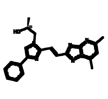 Cc1cc(C)n2nc(C=Cc3nc(-c4ccccc4)cn3C[C@@H](C)O)nc2n1